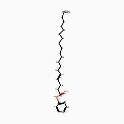 CCCCCCCCCCCCCCCCCCCCCCC/C=C/CCC(=O)Oc1ccccc1